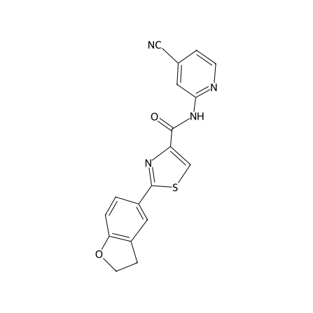 N#Cc1ccnc(NC(=O)c2csc(-c3ccc4c(c3)CCO4)n2)c1